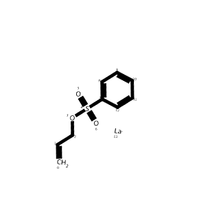 C=CCOS(=O)(=O)c1ccccc1.[La]